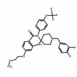 COCCOc1ccc2c(c1)NC1(CCN(Cc3ccc(F)c(F)c3)CC1)N(c1ccc(OC(F)(F)F)cc1)C2=O